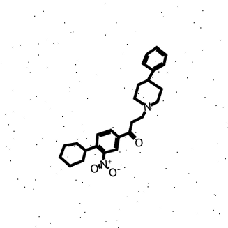 O=C(CCN1CCC(c2ccccc2)CC1)c1ccc(C2CCCCC2)c([N+](=O)[O-])c1